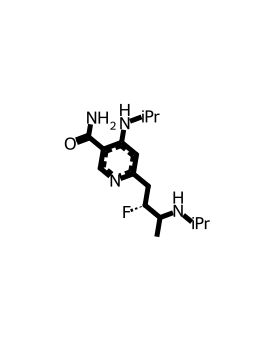 CC(C)Nc1cc(C[C@@H](F)C(C)NC(C)C)ncc1C(N)=O